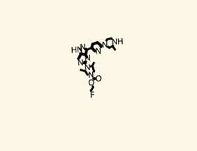 CC1CN(c2ccc(-c3n[nH]c4cnc(N5C(C)CN(C(=O)OCCF)CC5C)nc34)cn2)CCN1